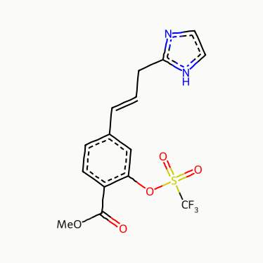 COC(=O)c1ccc(C=CCc2ncc[nH]2)cc1OS(=O)(=O)C(F)(F)F